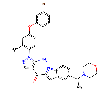 C=C(c1ccc2[nH]c(C(=O)c3cnn(-c4ccc(Oc5cccc(Br)c5)cc4C)c3N)cc2c1)N1CCOCC1